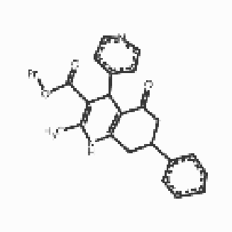 CC1=C(C(=O)OC(C)C)C(c2ccncc2)C2=C(CC(c3ccccc3)CC2=O)N1